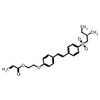 C=CC(=O)OCCOc1ccc(C=Cc2ccc(S(=O)(=O)C[C@H](C)CC)cc2)cc1